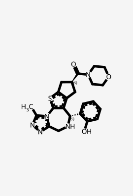 Cc1nnc2n1-c1sc3c(c1[C@H](c1ccccc1O)NC2)C[C@H](C(=O)N1CCOCC1)C3